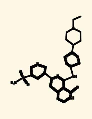 CCN1CCC(c2ccc(Nc3nc(-c4cncc(S(N)(=O)=O)c4)cc4cc[nH]c(=O)c34)cc2)CC1